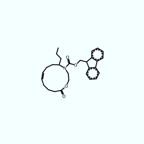 CCCC1CCC=CCCCC(=O)OCCN1C(=O)OCC1c2ccccc2-c2ccccc21